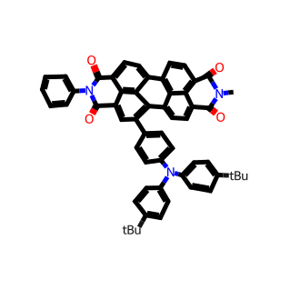 CN1C(=O)c2ccc3c4ccc5c6c(cc(-c7ccc(N(c8ccc(C(C)(C)C)cc8)c8ccc(C(C)(C)C)cc8)cc7)c(c7ccc(c2c37)C1=O)c64)C(=O)N(c1ccccc1)C5=O